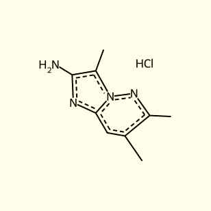 Cc1cc2nc(N)c(C)n2nc1C.Cl